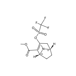 COC(=O)C1=C(OS(=O)(=O)C(F)(F)F)C[C@@H]2CC[C@H]1N2C